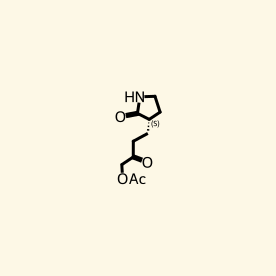 CC(=O)OCC(=O)CC[C@H]1CCNC1=O